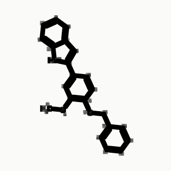 COc1cc(-c2cc3ccccc3[nH]2)ccc1OCc1ccccc1